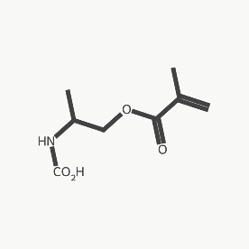 C=C(C)C(=O)OCC(C)NC(=O)O